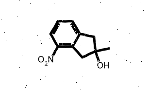 CC1(O)Cc2cccc([N+](=O)[O-])c2C1